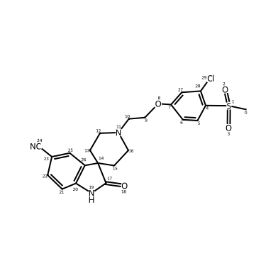 CS(=O)(=O)c1ccc(OCCN2CCC3(CC2)C(=O)Nc2ccc(C#N)cc23)cc1Cl